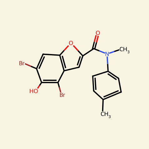 Cc1ccc(N(C)C(=O)c2cc3c(Br)c(O)c(Br)cc3o2)cc1